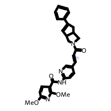 COc1ccc(C(=O)Nc2ccc(/C=C/C(=O)N3CC4C=C(c5ccccc5)CC4C3)cn2)c(OC)n1